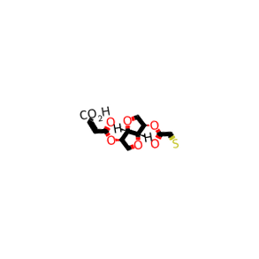 O=C(O)/C=C\C(=O)O[C@@H]1CO[C@H]2[C@@H]1OC[C@@H]2OC(=O)C=S